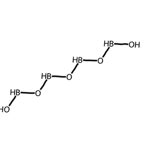 OBOBOBOBO